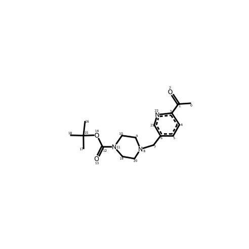 CC(=O)c1ccc(CN2CCN(C(=O)OC(C)(C)C)CC2)cn1